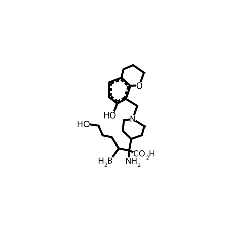 BC(CCCO)C(N)(C(=O)O)C1CCN(Cc2c(O)ccc3c2OCCC3)CC1